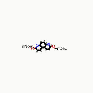 CCCCCCCCCCCOc1ccc2c(ccc3nc(OCCCCCCCCC)ccc32)n1